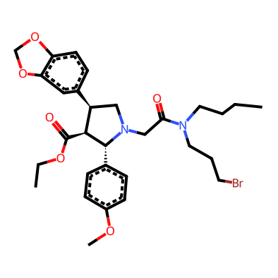 CCCCN(CCCBr)C(=O)CN1C[C@H](c2ccc3c(c2)OCO3)[C@H](C(=O)OCC)[C@H]1c1ccc(OC)cc1